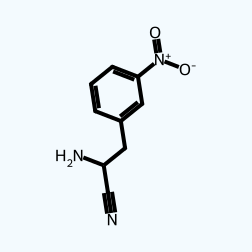 N#CC(N)Cc1cccc([N+](=O)[O-])c1